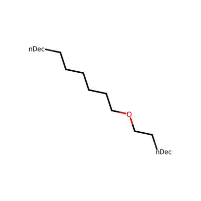 CCCCCCCCCCCCCCCCOCCCCCCCCCCCC